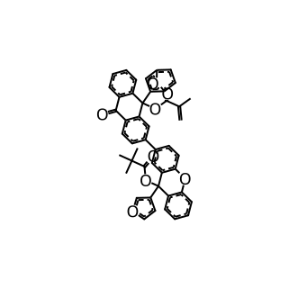 C=C(C)C(=O)OC1(c2cc3ccc2o3)c2ccccc2C(=O)c2ccc(-c3ccc4c(c3)C(OC(=O)C(C)(C)C)(c3ccoc3)c3ccccc3O4)cc21